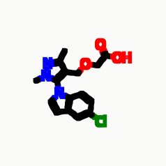 Cc1nn(C)c(-n2ccc3cc(Cl)ccc32)c1COCC(=O)O